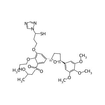 CCCOc1c(OCCC(S)n2cncn2)cc([C@@H]2CC[C@@H](c3cc(OC)c(OC)c(OC)c3)O2)cc1S(=O)(=O)CC(C)O